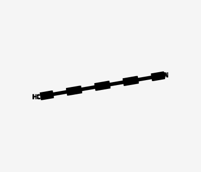 C#CC#CC#CC#CC#N